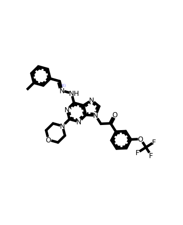 Cc1cccc(/C=N/Nc2nc(N3CCOCC3)nc3c2ncn3CC(=O)c2cccc(OC(F)(F)F)c2)c1